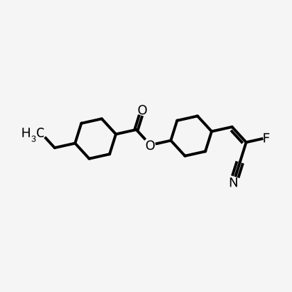 CCC1CCC(C(=O)OC2CCC(/C=C(/F)C#N)CC2)CC1